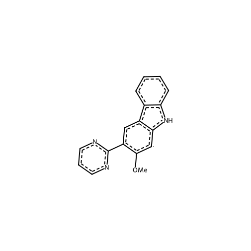 COc1[c]c2[nH]c3ccccc3c2cc1-c1ncccn1